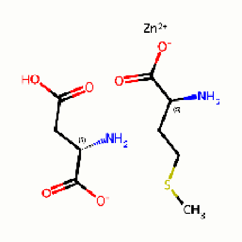 CSCC[C@H](N)C(=O)[O-].N[C@@H](CC(=O)O)C(=O)[O-].[Zn+2]